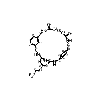 O=C1COCC(=O)NCc2cccc(c2)CNc2nc(nc(OCC(F)(F)F)n2)Nc2ccc(cc2)CN1